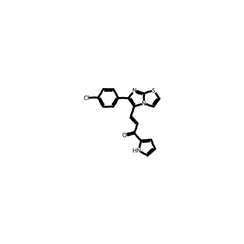 O=C(C=Cc1c(-c2ccc(Cl)cc2)nc2sccn12)c1ccc[nH]1